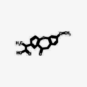 COc1ccc2c(c1)Sc1ccc(C(C)C(=O)O)cc1C(=O)C2